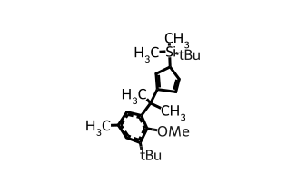 COc1c(C(C)(C)C)cc(C)cc1C(C)(C)C1=CC([Si](C)(C)C(C)(C)C)C=C1